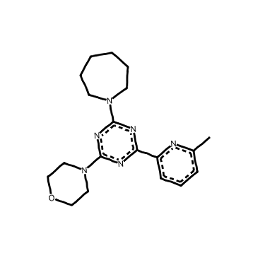 Cc1cccc(-c2nc(N3CCCCCC3)nc(N3CCOCC3)n2)n1